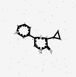 O=c1[nH]cc(-c2cccnc2)nc1C1CC1